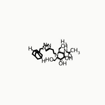 CC[C@H]1[C@H](NC(C)=O)[C@@H](O)[C@H](O)[C@@H](CO)N1CCc1cn(CC23CC4C[C@H](C2)C[C@H](C4)C3)nn1